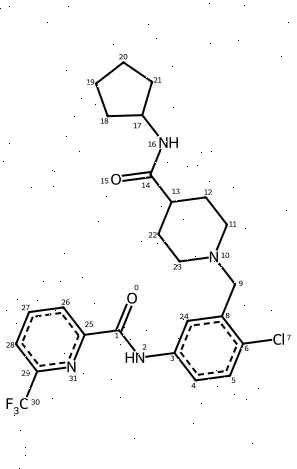 O=C(Nc1ccc(Cl)c(CN2CCC(C(=O)NC3CCCC3)CC2)c1)c1cccc(C(F)(F)F)n1